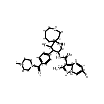 CN1CCN(C(=O)c2ccc(C3C(NC(=O)c4c(N)nn5cc(F)cnc45)CNC4(CCCCCCC4)C3F)cc2)CC1